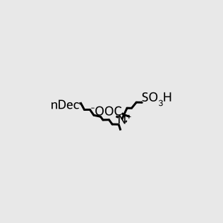 CCCCCCCCCCCCCCCCCCC(C)[N+](C)(C)C(C)(CCCCS(=O)(=O)O)C(=O)[O-]